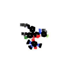 Cc1cc2c(-c3cccc(/C=C/C(=O)O)c3)c(CC(=O)Nc3ccc(F)cc3C(F)(F)F)c(=O)oc2cc1Cl.O=C1C=C(N2CC2)C(=O)C(N2CC2)=C1N1CC1